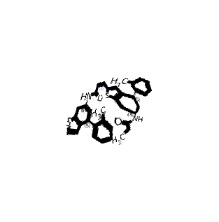 C=CC(=O)N[C@@H]1Cc2sc(/C=C\C(=O)N[C@H]3Cc4sccc4[C@H](c4ccccc4C)C3)cc2[C@H](c2ccccc2C)C1